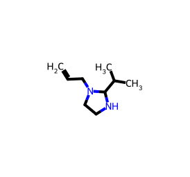 C=CCN1CCNC1C(C)C